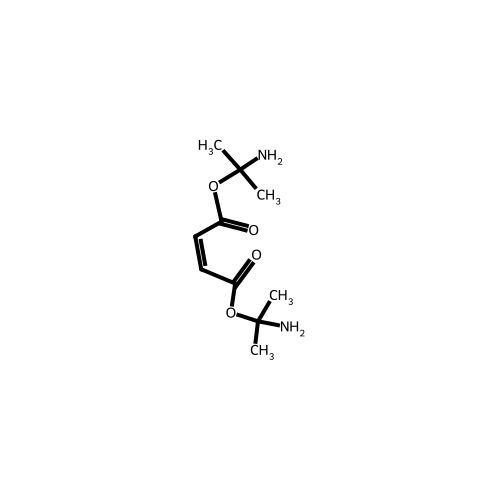 CC(C)(N)OC(=O)/C=C\C(=O)OC(C)(C)N